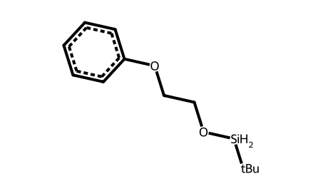 CC(C)(C)[SiH2]OCCOc1ccccc1